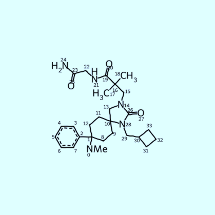 CNC1(c2ccccc2)CCC2(CC1)CN(CC(C)(C)C(=O)NCC(N)=O)C(=O)N2CC1CCC1